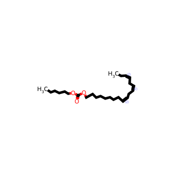 CC/C=C\C/C=C\C/C=C\CCCCCCCCOC(=O)OCCCCCC